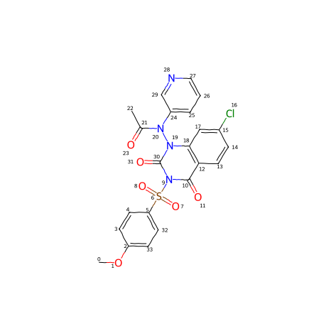 COc1ccc(S(=O)(=O)n2c(=O)c3ccc(Cl)cc3n(N(C(C)=O)c3cccnc3)c2=O)cc1